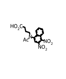 CC(=O)N(CCCC(=O)O)c1cc([N+](=O)[O-])c([N+](=O)[O-])c2ccccc12